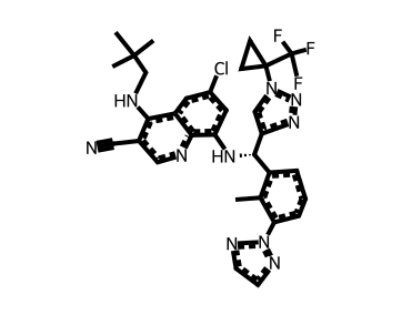 Cc1c([C@H](Nc2cc(Cl)cc3c(NCC(C)(C)C)c(C#N)cnc23)c2cn(C3(C(F)(F)F)CC3)nn2)cccc1-n1nccn1